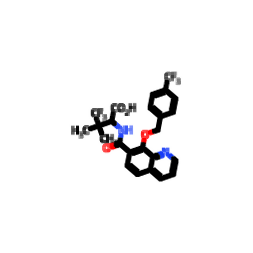 CC(C)(C(NC(=O)c1ccc2cccnc2c1OCc1ccc(C(F)(F)F)cc1)C(=O)O)C(F)(F)F